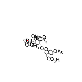 CC(=O)Oc1ccc(C(CC(=O)O)CC(=O)OC[C@@H]2C[C@@H]3[C@H]([C@@H](O)C[C@@]4(C)[C@H]3CC[C@@]43OCOC34COCO4)[C@@]3(C)CCC(=O)C=C23)cc1